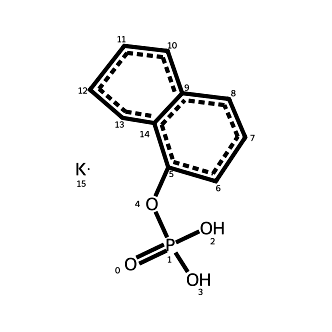 O=P(O)(O)Oc1cccc2ccccc12.[K]